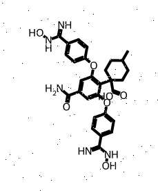 CC1CCC(C(=O)O)(c2c(Oc3ccc(C(=N)NO)cc3)cc(C(N)=O)cc2Oc2ccc(C(=N)NO)cc2)CC1